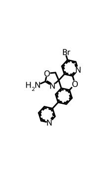 NC1=NC2(CO1)c1cc(-c3cccnc3)ccc1Oc1ncc(Br)cc12